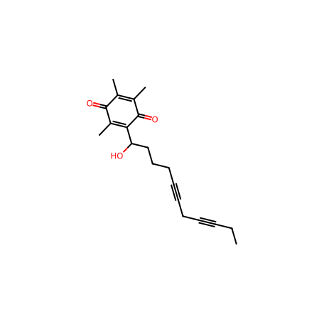 CCC#CCC#CCCCC(O)C1=C(C)C(=O)C(C)=C(C)C1=O